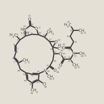 C/C1=C\C=C\C(C)C2(O)CC(OC(=O)N2)C(C)C2OC2(C)C(OC(=O)[C@H](C)N(C)C(=O)CCC(C)C)CC(=O)N(C)c2cc(cc(C)c2Cl)C1